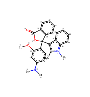 CCCn1c(C)c(C2(c3ccc(N(CC)CC)cc3OCC)OC(=O)c3ccccc32)c2ccccc21